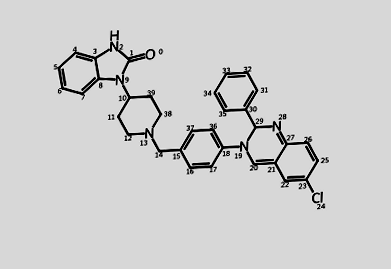 O=c1[nH]c2ccccc2n1C1CCN(Cc2ccc(N3C=c4cc(Cl)ccc4=NC3c3ccccc3)cc2)CC1